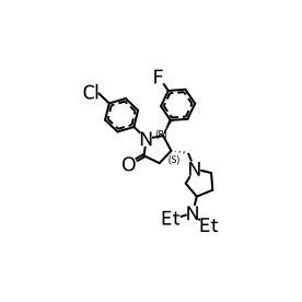 CCN(CC)C1CCN(C[C@@H]2CC(=O)N(c3ccc(Cl)cc3)[C@H]2c2cccc(F)c2)C1